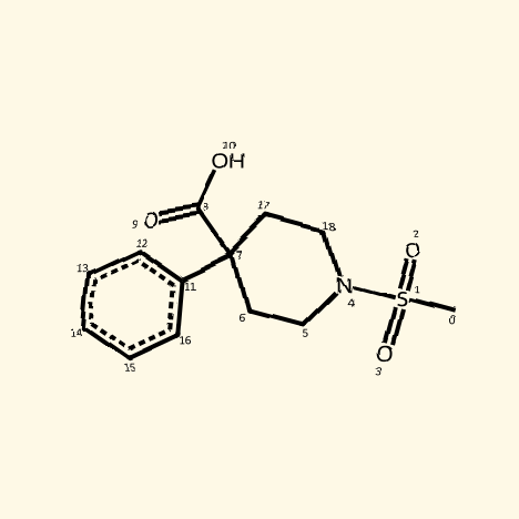 CS(=O)(=O)N1CCC(C(=O)O)(c2ccccc2)CC1